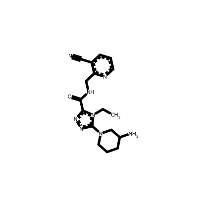 CCn1c(C(=O)NCc2ncccc2C#N)nnc1N1CCCC(N)C1